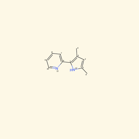 Cc1cc(C)c(-c2ccccn2)[nH]1